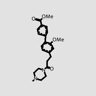 COC(=O)c1ccc(-c2ccc(CCC(=O)N3CCN(C)CC3)cc2OC)cc1